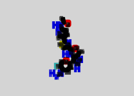 CC(=O)Nc1ccc(-c2nc(C(=O)Nc3c(C)n[nH]c3[C@@H]3CC[C@@H](N)[C@H](F)CO3)cs2)cn1